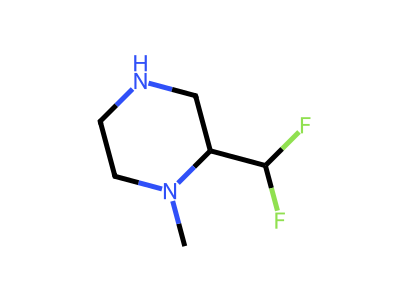 CN1CCNCC1C(F)F